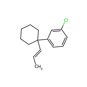 C/C=C/C1(c2cccc(Cl)c2)CCCCC1